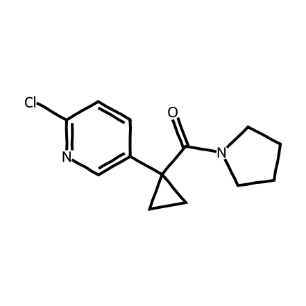 O=C(N1CCCC1)C1(c2ccc(Cl)nc2)CC1